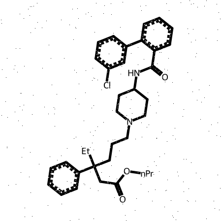 CCCOC(=O)CC(CC)(CCCN1CCC(NC(=O)c2ccccc2-c2cccc(Cl)c2)CC1)c1ccccc1